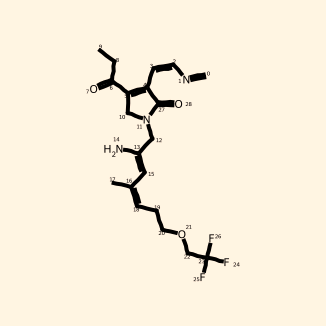 C=N/C=C\C1=C(C(=O)CC)CN(C/C(N)=C/C(C)=C\CCOCC(F)(F)F)C1=O